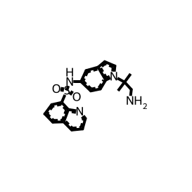 CC(C)(CN)n1ccc2cc(NS(=O)(=O)c3cccc4cccnc34)ccc21